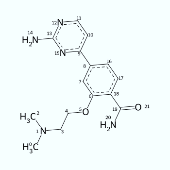 CN(C)CCOc1cc(-c2ccnc(N)n2)ccc1C(N)=O